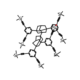 C[Si](C)(C)C#Cc1cc(C#C[Si](C)(C)C)cc(C23CC4CC(c5cc(C#C[Si](C)(C)C)cc(C#C[Si](C)(C)C)c5)(C2)CC(C25CC6CC(c7cc(C#C[Si](C)(C)C)cc(C#C[Si](C)(C)C)c7)(CC(c7cc(C#C[Si](C)(C)C)cc(C#C[Si](C)(C)C)c7)(C6)C2)C5)(C4)C3)c1